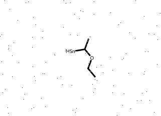 CCO[CH](C)[SnH]